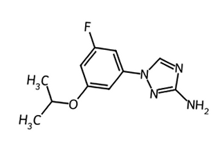 CC(C)Oc1cc(F)cc(-n2cnc(N)n2)c1